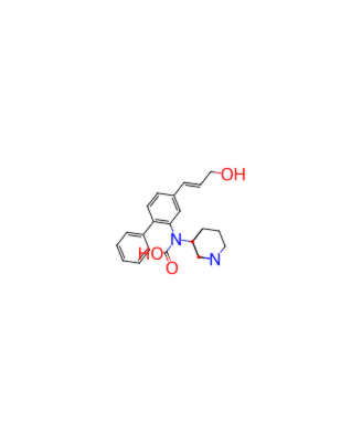 O=C(O)N(c1cc(C=CCO)ccc1-c1ccccc1)C1CN2CCC1CC2